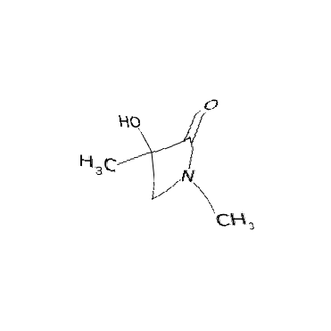 CN1CC(C)(O)C1=O